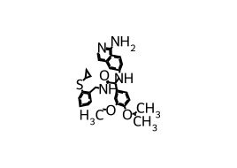 CCOc1cc(C(Nc2ccc3c(N)nccc3c2)C(=O)NCc2ccccc2SC2CC2)ccc1OC(C)C